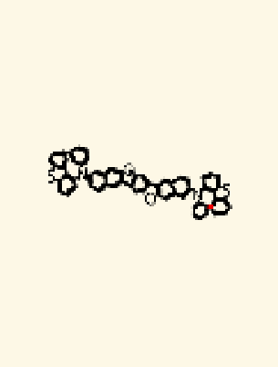 c1ccc(N(c2ccc3cc4c(cc3c2)oc2cc3c(cc24)oc2cc4cc(N(c5ccccc5)c5cccc6sc7ccccc7c56)ccc4cc23)c2cccc3sc4ccccc4c23)cc1